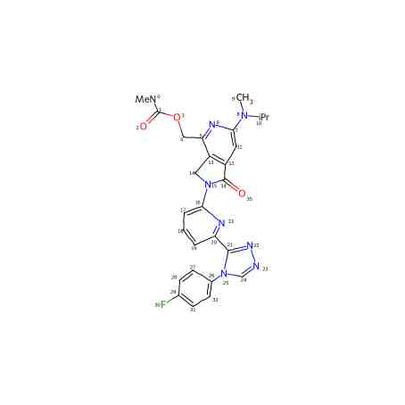 CNC(=O)OCc1nc(N(C)C(C)C)cc2c1CN(c1cccc(-c3nncn3-c3ccc(F)cc3)n1)C2=O